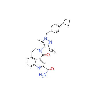 Cc1c(N2CCc3cccc4nc(C(N)=O)cc(c34)C2=O)c(C(F)(F)F)nn1Cc1ccc(C2CCC2)cc1